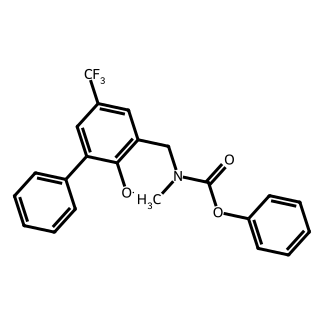 CN(Cc1cc(C(F)(F)F)cc(-c2ccccc2)c1[O])C(=O)Oc1ccccc1